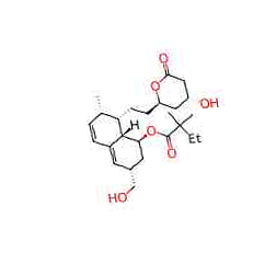 CCC(C)(C)C(=O)O[C@H]1C[C@H](CO)C=C2C=C[C@H](C)[C@H](CC[C@@H]3C[C@@H](O)CC(=O)O3)[C@@H]21